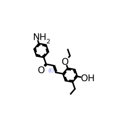 CCOc1cc(O)c(CC)cc1/C=C/C(=O)c1ccc(N)cc1